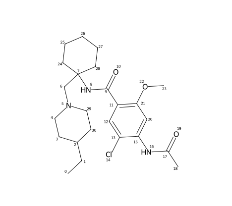 CCC1CCN(CC2(NC(=O)c3cc(Cl)c(NC(C)=O)cc3OC)CCCCC2)CC1